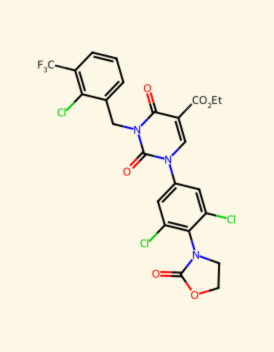 CCOC(=O)c1cn(-c2cc(Cl)c(N3CCOC3=O)c(Cl)c2)c(=O)n(Cc2cccc(C(F)(F)F)c2Cl)c1=O